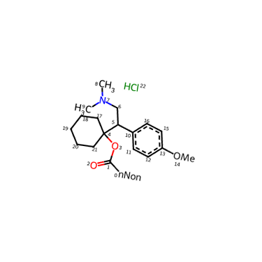 CCCCCCCCCC(=O)OC1(C(CN(C)C)c2ccc(OC)cc2)CCCCC1.Cl